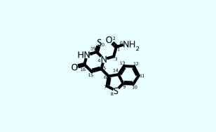 NC(=O)Cn1c(-c2csc3ccccc23)cc(=O)[nH]c1=S